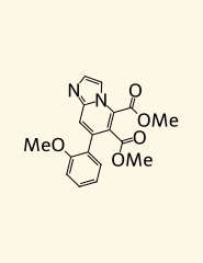 COC(=O)c1c(-c2ccccc2OC)cc2nccn2c1C(=O)OC